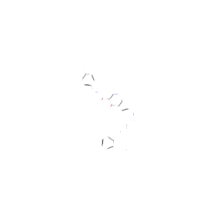 COc1ccccc1SCC(O)CN(C)Cc1cc2c(=O)c(C(=O)NCc3ccc(Cl)cc3)cn(C)c2o1